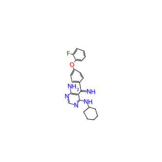 N=C(c1ccc(Oc2ccccc2F)cc1)c1c(N)ncnc1NC1CCCCC1